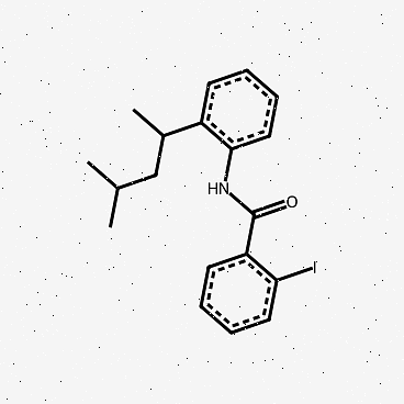 CC(C)CC(C)c1ccccc1NC(=O)c1ccccc1I